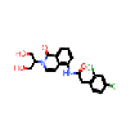 O=C(Cc1ccc(Cl)cc1Cl)Nc1cccc2c(=O)n(C(CO)CO)ccc12